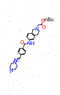 CCCCOC(=O)CN1CCc2cc(NC(=O)c3ccc(/C=N/N4CCN(C)CC4)cc3)ccc2C1